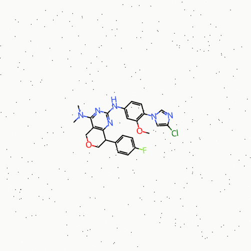 COc1cc(Nc2nc3c(c(N(C)C)n2)COCC3c2ccc(F)cc2)ccc1-n1cnc(Cl)c1